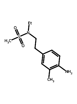 CCN(CCc1ccc(N)c(C)c1)S(C)(=O)=O